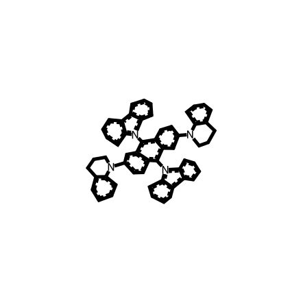 c1ccc2c(c1)CCCN2c1ccc2c(-n3c4ccccc4c4ccccc43)c3cc(N4CCCc5ccccc54)ccc3c(-n3c4ccccc4c4ccccc43)c2c1